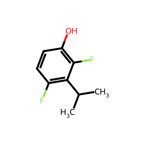 CC(C)c1c(F)ccc(O)c1F